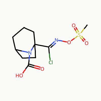 CS(=O)(=O)O/N=C(\Cl)C12CCCC(CC1)N2C(=O)O